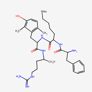 CNCCCCC(NC(=O)C(N)Cc1ccccc1)C(=O)NC(Cc1c(C)ccc(O)c1C)C(=O)NC(CCCNC(=N)N)C(=O)O